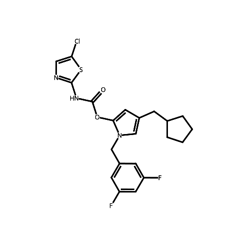 O=C(Nc1ncc(Cl)s1)Oc1cc(CC2CCCC2)cn1Cc1cc(F)cc(F)c1